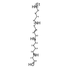 CCNCCCCNC/C=C/CNCCCCNCCO